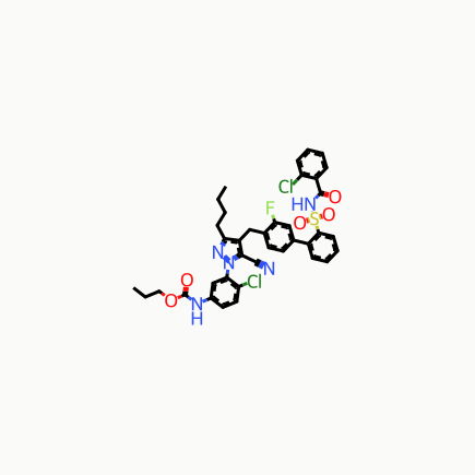 CCCCc1nn(-c2cc(NC(=O)OCCC)ccc2Cl)c(C#N)c1Cc1ccc(-c2ccccc2S(=O)(=O)NC(=O)c2ccccc2Cl)cc1F